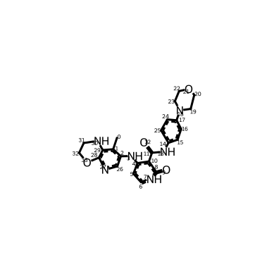 Cc1c(Nc2cc[nH]c(=O)c2C(=O)Nc2ccc(N3CCOCC3)cc2)cnc2c1NCCO2